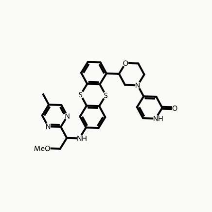 COCC(Nc1ccc2c(c1)Sc1cccc(C3CN(c4cc[nH]c(=O)c4)CCO3)c1S2)c1ncc(C)cn1